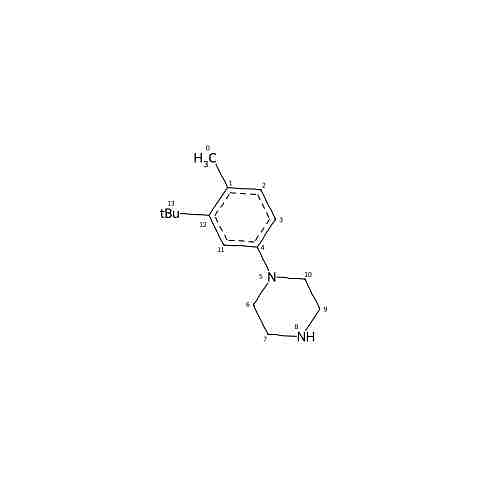 Cc1ccc(N2CCNCC2)cc1C(C)(C)C